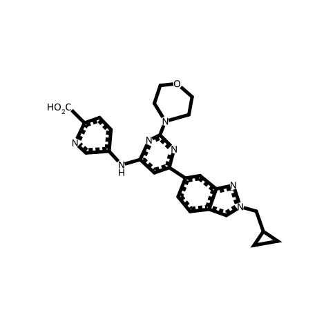 O=C(O)c1ccc(Nc2cc(-c3ccc4cn(CC5CC5)nc4c3)nc(N3CCOCC3)n2)cn1